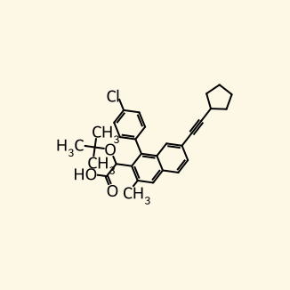 Cc1cc2ccc(C#CC3CCCC3)cc2c(-c2ccc(Cl)cc2)c1C(OC(C)(C)C)C(=O)O